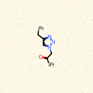 CC(C)Cc1cn(CC(=O)C(C)C)nn1